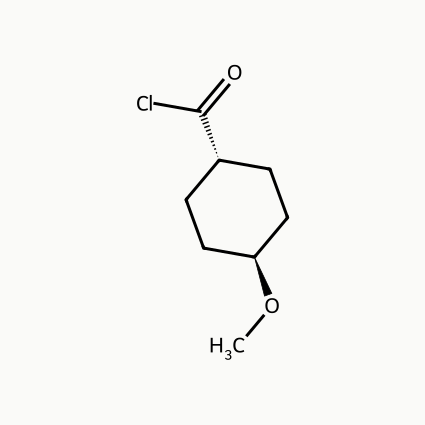 CO[C@H]1CC[C@H](C(=O)Cl)CC1